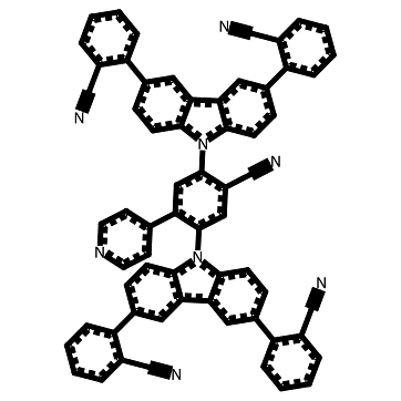 N#Cc1ccccc1-c1ccc2c(c1)c1cc(-c3ccccc3C#N)ccc1n2-c1cc(-c2ccncc2)c(-n2c3ccc(-c4ccccc4C#N)cc3c3cc(-c4ccccc4C#N)ccc32)cc1C#N